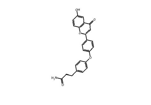 NC(=O)CCc1ccc(Oc2ccc(-c3cc(=O)c4cc(O)ccc4o3)cc2)cc1